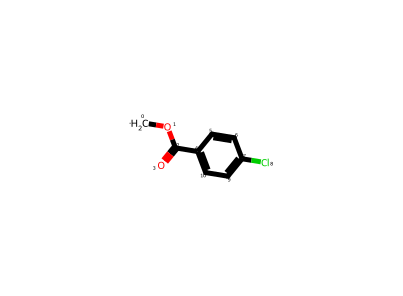 [CH2]OC(=O)c1ccc(Cl)cc1